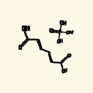 O=C(O)/C=C/C=C/C(=O)O.O=P(O)(O)O